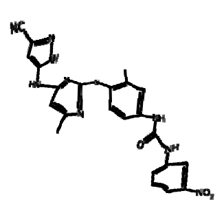 Cc1cc(Nc2cc(C#N)n[nH]2)nc(Sc2ccc(NC(=O)Nc3cccc([N+](=O)[O-])c3)cc2C)n1